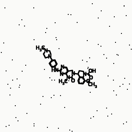 COc1cccc2c1N(C(=O)O)CCC2N1Cc2cnc(Nc3ccc(N4CCN(C)CC4)cc3)nc2N(C)C1=O